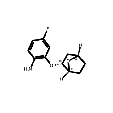 Nc1ccc(F)cc1O[C@@H]1C[C@@H]2CC[C@H]1O2